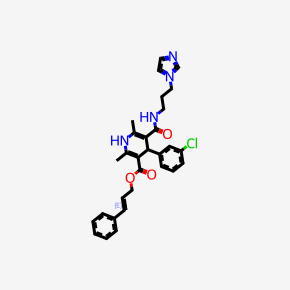 CC1=C(C(=O)NCCCn2ccnc2)C(c2cccc(Cl)c2)C(C(=O)OC/C=C/c2ccccc2)=C(C)N1